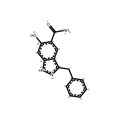 NC(=O)c1cc2c(Cc3ccccc3)n[nH]c2cc1O